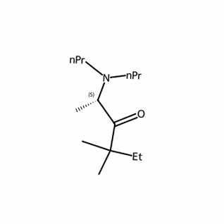 CCCN(CCC)[C@@H](C)C(=O)C(C)(C)CC